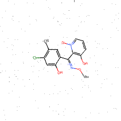 CC(C)(C)O/N=C(/c1cc(C#N)c(Cl)cc1O)c1c(O)ccc[n+]1[O-]